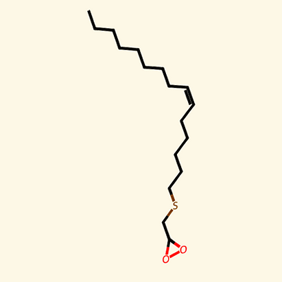 CCCCCCCC/C=C\CCCCCSCC1OO1